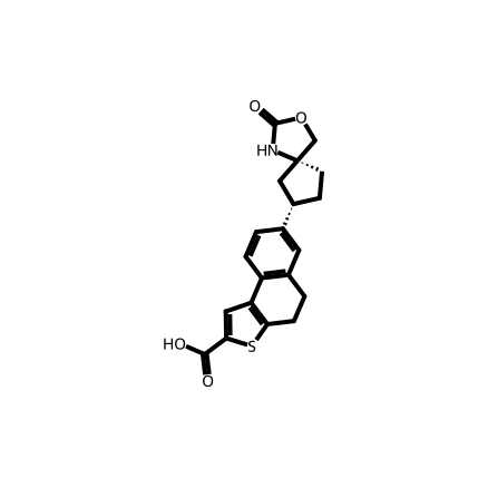 O=C1N[C@@]2(CC[C@H](c3ccc4c(c3)CCc3sc(C(=O)O)cc3-4)C2)CO1